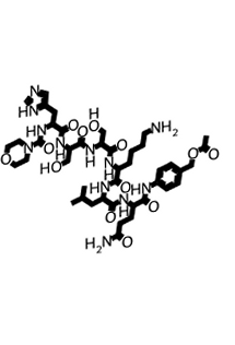 CC(=O)OCc1ccc(NC(=O)C(CCC(N)=O)NC(=O)C(CC(C)C)NC(=O)C(CCCCN)NC(=O)C(CO)NC(=O)C(CO)NC(=O)C(Cc2cnc[nH]2)NC(=O)N2CCOCC2)cc1